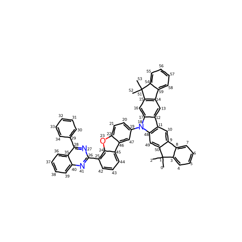 CC1(C)c2ccccc2-c2cc3c4cc5c(cc4n(-c4ccc6oc7c(-c8nc(-c9ccccc9)c9ccccc9n8)cccc7c6c4)c3cc21)C(C)(C)c1ccccc1-5